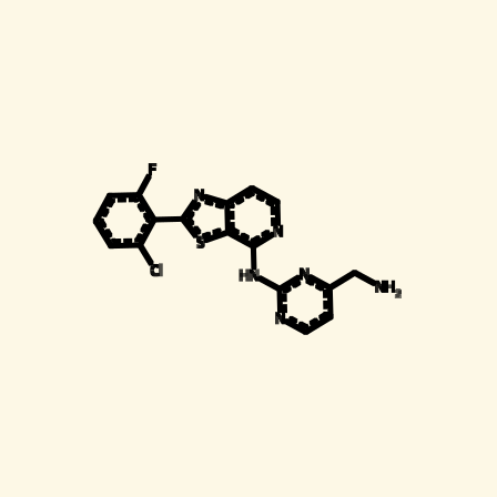 NCc1ccnc(Nc2nccc3nc(-c4c(F)cccc4Cl)sc23)n1